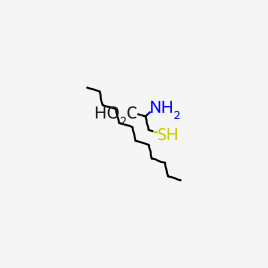 CCCCCCCCCCCC.NC(CS)C(=O)O